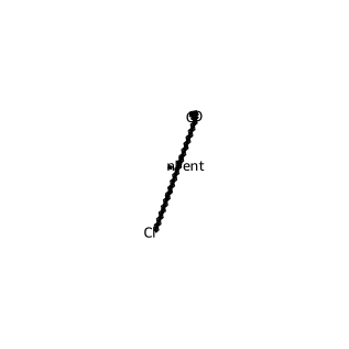 CCCCCC.ClCCCCCCCCCCC=CCCCCCCCCCCC=CCCCCCCCCCCCC1OCCO1